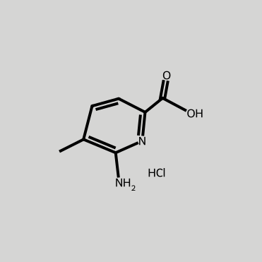 Cc1ccc(C(=O)O)nc1N.Cl